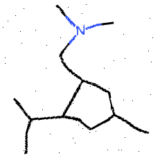 CC1CC(CN(C)C)C(C(C)C)C1